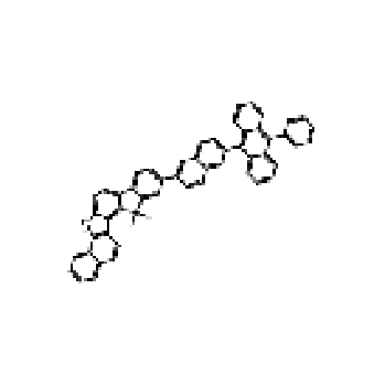 CC1(C)c2cc(-c3ccc4cc(-c5c6ccccc6c(-c6ccccc6)c6ccccc56)ccc4c3)ccc2-c2ccc3sc4c5ccccc5ccc4c3c21